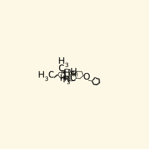 CC=C1C[C@H]2[C@@H]3CCC4CC(OCc5ccccc5)CC[C@]4(C)[C@H]3CC[C@]2(C)C1